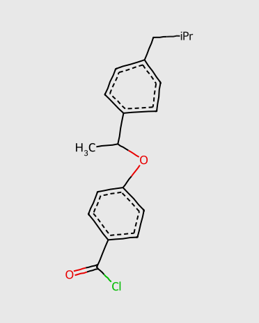 CC(C)Cc1ccc(C(C)Oc2ccc(C(=O)Cl)cc2)cc1